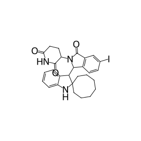 O=C1CCC(N2C(=O)c3cc(I)ccc3C2C2c3ccccc3NC23CCCCCCC3)C(=O)N1